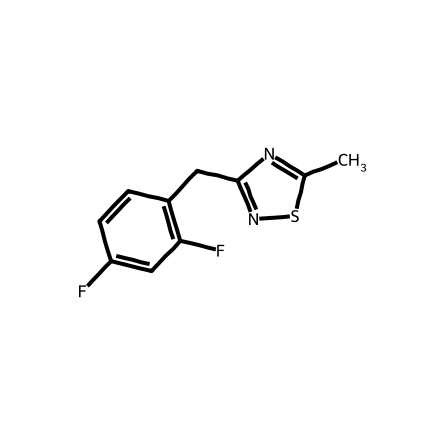 Cc1nc(Cc2ccc(F)cc2F)ns1